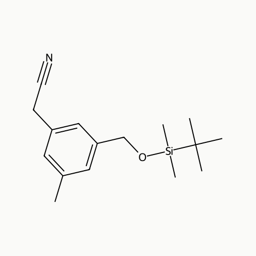 Cc1cc(CC#N)cc(CO[Si](C)(C)C(C)(C)C)c1